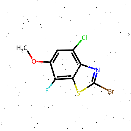 COc1cc(Cl)c2nc(Br)sc2c1F